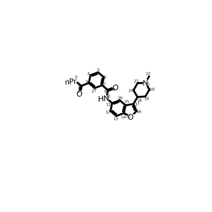 CCCC(=O)c1cccc(C(=O)Nc2ccc3occ(C4CCN(C)CC4)c3c2)c1